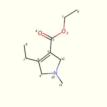 CCOC(=O)C1=C(CC)CN(C)C1